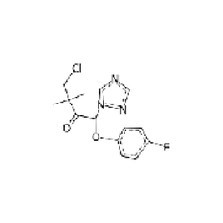 CC(C)(CCl)C(=O)C(Oc1ccc(F)cc1)n1cncn1